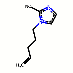 C=CCCCn1ccnc1C#N